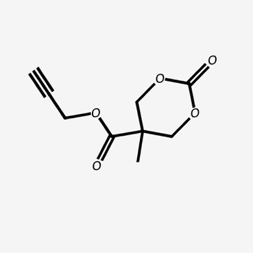 C#CCOC(=O)C1(C)COC(=O)OC1